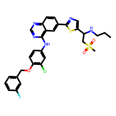 CCCNC(CS(C)(=O)=O)c1cnc(-c2ccc3ncnc(Nc4ccc(OCc5cccc(F)c5)c(Cl)c4)c3c2)s1